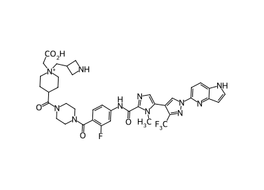 Cn1c(-c2cn(-c3ccc4[nH]ccc4n3)nc2C(F)(F)F)cnc1C(=O)Nc1ccc(C(=O)N2CCN(C(=O)C3CC[N+](CC(=O)O)(CC4CNC4)CC3)CC2)c(F)c1